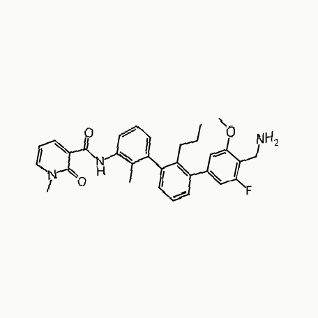 CCCc1c(-c2cc(F)c(CN)c(OC)c2)cccc1-c1cccc(NC(=O)c2cccn(C)c2=O)c1C